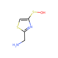 NCc1nc(SO)cs1